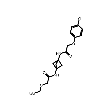 CC(C)(C)COCC(=O)NC12CC(NC(=O)COc3ccc(Cl)cc3)(C1)C2